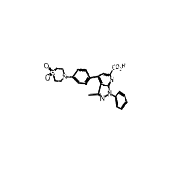 Cc1nn(-c2ccccc2)c2nc(C(=O)O)cc(-c3ccc(N4CCS(=O)(=O)CC4)cc3)c12